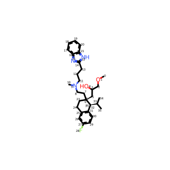 COCC(O)C[C@]1(CCN(C)CCCc2nc3ccccc3[nH]2)CCc2cc(F)ccc2[C@@H]1C(C)C